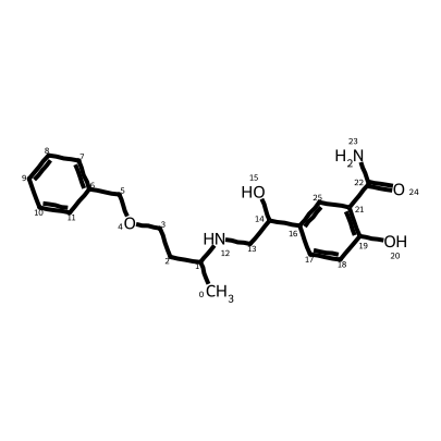 CC(CCOCc1ccccc1)NCC(O)c1ccc(O)c(C(N)=O)c1